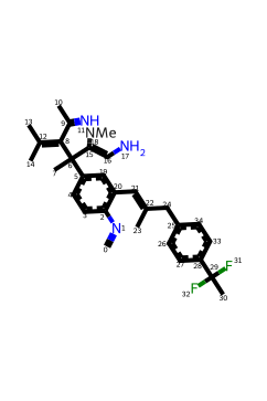 C=Nc1ccc(C(C)(C(C(C)=N)=C(C)C)/C(=C/N)NC)cc1/C=C(\C)Cc1ccc(C(C)(F)F)cc1